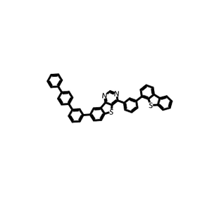 c1ccc(-c2ccc(-c3cccc(-c4ccc5sc6c(-c7cccc(-c8cccc9c8sc8ccccc89)c7)ncnc6c5c4)c3)cc2)cc1